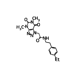 CCc1ccc(CCNC(=O)Cn2nnc3c2c(=O)n(C)c(=O)n3C)cc1